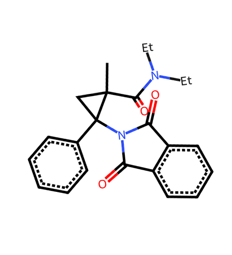 CCN(CC)C(=O)C1(C)CC1(c1ccccc1)N1C(=O)c2ccccc2C1=O